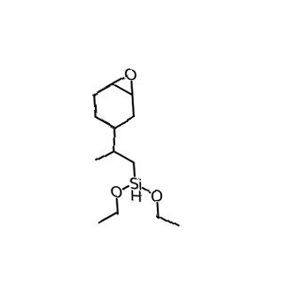 CCO[SiH](CC(C)C1CCC2OC2C1)OCC